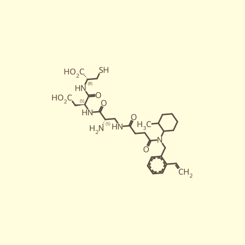 C=Cc1ccccc1CN(C(=O)CCC(=O)NC[C@H](N)C(=O)N[C@@H](CC(=O)O)C(=O)N[C@@H](CS)C(=O)O)C1CCCCC1C